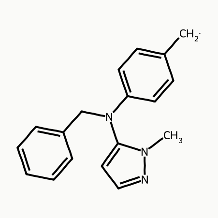 [CH2]c1ccc(N(Cc2ccccc2)c2ccnn2C)cc1